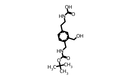 CC(C)(C)OC(=O)NCc1ccc(CCNC(=O)O)cc1CO